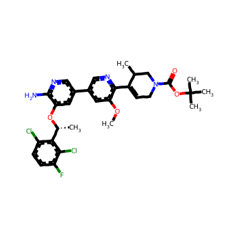 COc1cc(-c2cnc(N)c(O[C@H](C)c3c(Cl)ccc(F)c3Cl)c2)cnc1C1=CCN(C(=O)OC(C)(C)C)CC1C